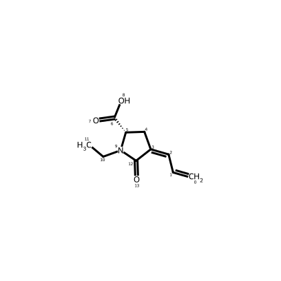 C=CC=C1C[C@@H](C(=O)O)N(CC)C1=O